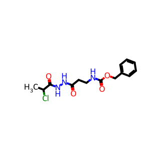 CC(Cl)C(=O)NNC(=O)CCNC(=O)OCc1ccccc1